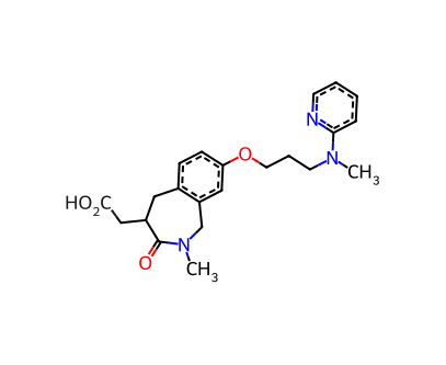 CN1Cc2cc(OCCCN(C)c3ccccn3)ccc2CC(CC(=O)O)C1=O